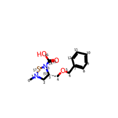 CN1C[C@@H](COCc2ccccc2)N(C(=O)O)S1